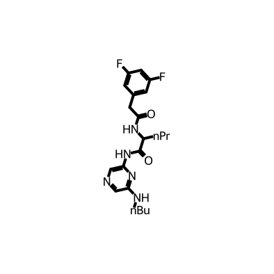 CCCCNc1cncc(NC(=O)C(CCC)NC(=O)Cc2cc(F)cc(F)c2)n1